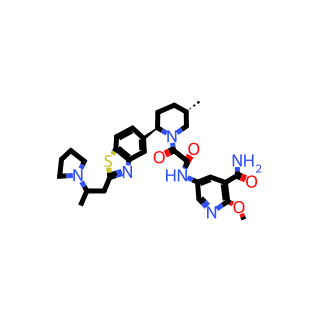 COc1ncc(NC(=O)C(=O)N2C[C@@H](C)CC[C@@H]2c2ccc3sc(CC(C)N4CCCC4)nc3c2)cc1C(N)=O